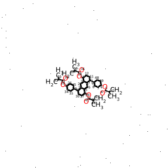 C=C(C)C(=O)Oc1ccc(-c2ccc(OC(=O)C(=C)C)c3cc4c(-c5ccc(OC(=O)C(=C)C)cc5)ccc(OC(=O)C(=C)C)c4cc23)cc1